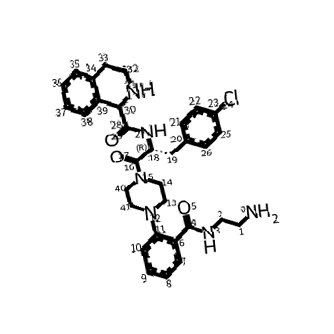 NCCNC(=O)c1ccccc1N1CCN(C(=O)[C@@H](Cc2ccc(Cl)cc2)NC(=O)C2N[CH]Cc3ccccc32)CC1